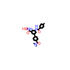 Cc1ccc(C(=O)Nc2cc(C(=O)NO)cc(-c3ccc(C(=O)N(C)C)cc3)c2)cc1